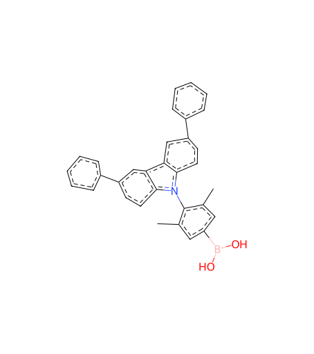 Cc1cc(B(O)O)cc(C)c1-n1c2ccc(-c3ccccc3)cc2c2cc(-c3ccccc3)ccc21